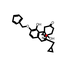 O=C1CCC2(O)C3Cc4ccc(OCc5ccccc5)c(O)c4C2(CCN3CC2CC2)C1